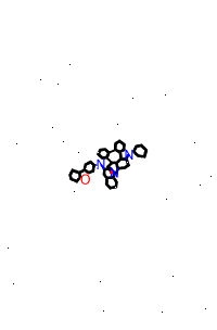 c1ccc(-n2c3cccc4c3c3c5c(cccc5ccc32)-c2c-4cccc2N(c2cnc3ccccc3c2)c2ccc3c(c2)oc2ccccc23)cc1